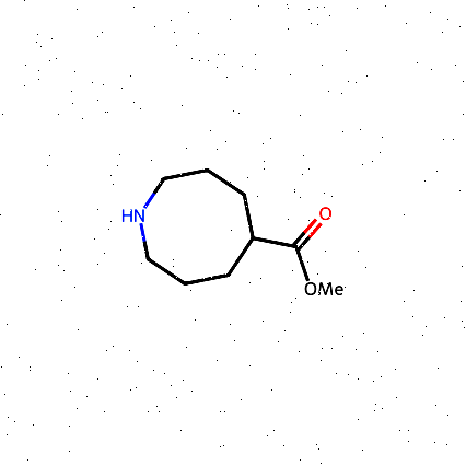 COC(=O)C1CCCNCCC1